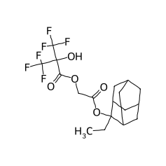 CCC1(OC(=O)COC(=O)C(O)(C(F)(F)F)C(F)(F)F)C2CC3CC(C2)CC1C3